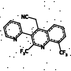 N#CCc1c(-c2ccccn2)c(C(F)(F)F)nc2c(C(F)(F)F)cccc12